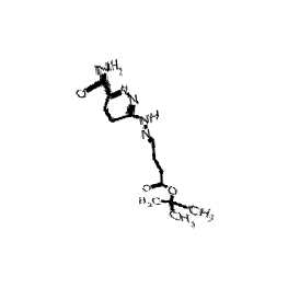 CC(C)(C)OC(=O)CCC=NNc1ccc(C(N)=O)nn1